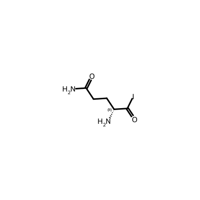 NC(=O)CC[C@@H](N)C(=O)I